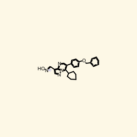 O/N=C/c1cnn2c(C3CCCCC3)c(-c3ccc(OCc4ccccc4)cc3)cnc12